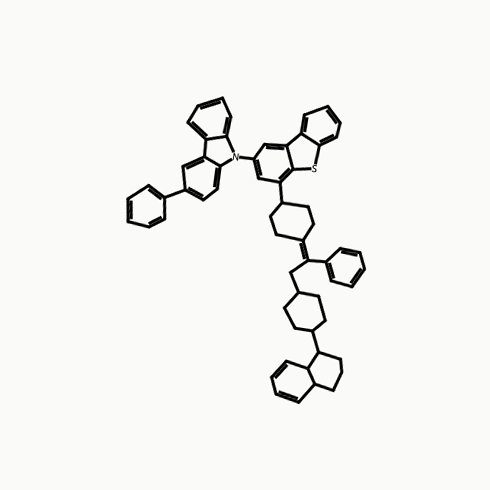 C1=CC2CCCC(C3CCC(CC(=C4CCC(c5cc(-n6c7ccccc7c7cc(-c8ccccc8)ccc76)cc6c5sc5ccccc56)CC4)c4ccccc4)CC3)C2C=C1